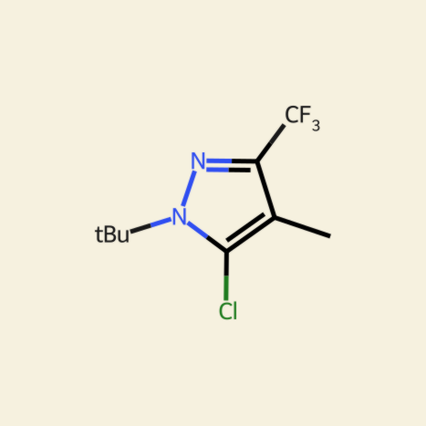 Cc1c(C(F)(F)F)nn(C(C)(C)C)c1Cl